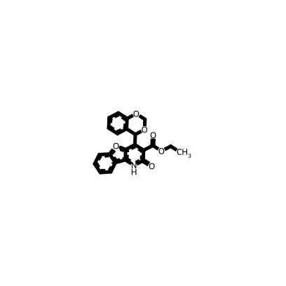 CCOC(=O)c1c(C2OCOc3ccccc32)c2oc3ccccc3c2[nH]c1=O